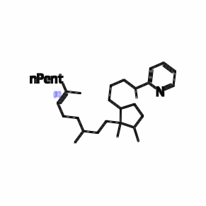 CCCCC/C(C)=C/CCC(C)CCC1(C)C(C)CCC1CCCC(C)c1ccccn1